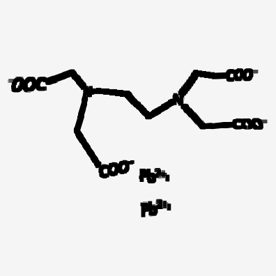 O=C([O-])CN(CCN(CC(=O)[O-])CC(=O)[O-])CC(=O)[O-].[Pb+2].[Pb+2]